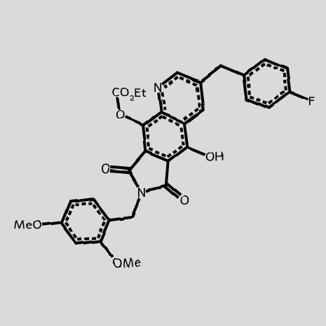 CCOC(=O)Oc1c2c(c(O)c3cc(Cc4ccc(F)cc4)cnc13)C(=O)N(Cc1ccc(OC)cc1OC)C2=O